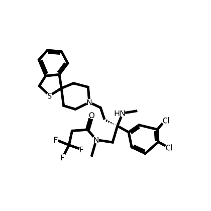 CN[C@](CCN1CCC2(CC1)SCc1ccccc12)(CN(C)C(=O)CC(F)(F)F)c1ccc(Cl)c(Cl)c1